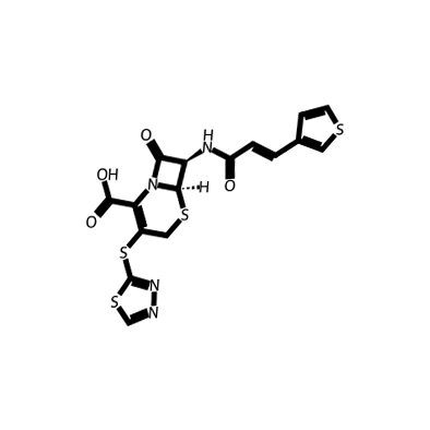 O=C(/C=C/c1ccsc1)N[C@@H]1C(=O)N2C(C(=O)O)=C(Sc3nncs3)CS[C@H]12